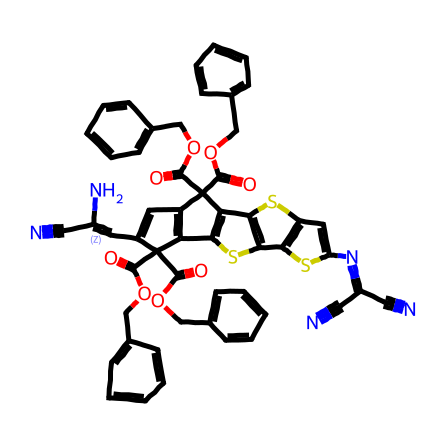 N#CC(C#N)=Nc1cc2sc3c4c(sc3c2s1)C1=C(C=C(/C=C(\N)C#N)C1(C(=O)OCc1ccccc1)C(=O)OCc1ccccc1)C4(C(=O)OCc1ccccc1)C(=O)OCc1ccccc1